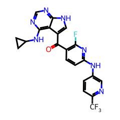 O=C(c1ccc(Nc2ccc(C(F)(F)F)nc2)nc1F)c1c[nH]c2ncnc(NC3CC3)c12